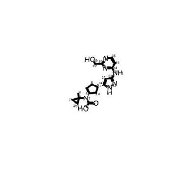 CC1(N(C(=O)O)[C@@H]2CC[C@H](c3cc(Nc4ccnc(CO)n4)n[nH]3)C2)CC1